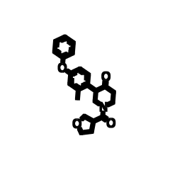 Cc1cc(Oc2ccccc2)ccc1C1CN(C(=O)C2CCOC2)CCC1=O